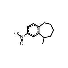 CC1CCCCc2ccc([N+](=O)[O-])cc21